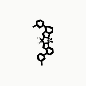 CCC1(CC)C2=Cc3c(-c4cccc(C)c4)cccc3[CH]2[Hf]([CH3])([CH3])[CH]2C1=Cc1c(-c3cccc(C)c3)cccc12